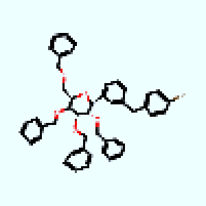 Brc1ccc(Cc2cccc([C@@H]3O[C@H](COCc4ccccc4)C(OCc4ccccc4)[C@H](OCc4ccccc4)[C@H]3OCc3ccccc3)c2)cc1